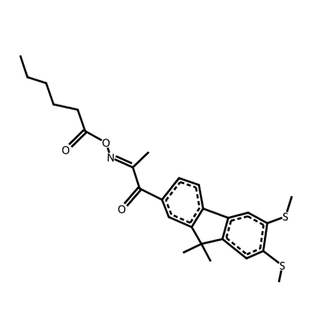 CCCCCC(=O)O/N=C(\C)C(=O)c1ccc2c(c1)C(C)(C)c1cc(SC)c(SC)cc1-2